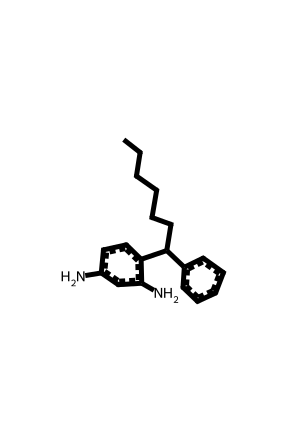 CCCCCCC(c1ccccc1)c1ccc(N)cc1N